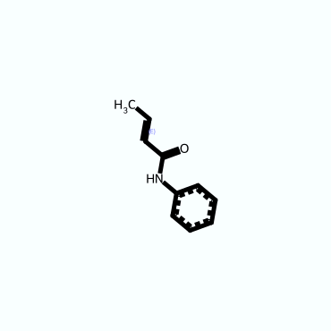 C/C=C/C(=O)Nc1ccccc1